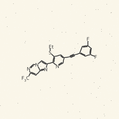 CCSc1cc(C#Cc2cc(F)cc(F)c2)cnc1-c1cn2cnc(C(F)(F)F)cc2n1